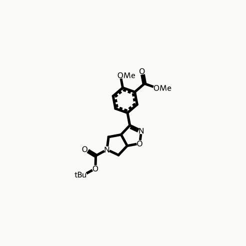 COC(=O)c1cc(C2=NOC3CN(C(=O)OC(C)(C)C)CC23)ccc1OC